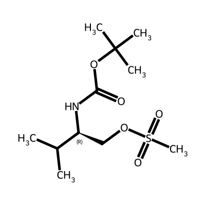 CC(C)[C@H](COS(C)(=O)=O)NC(=O)OC(C)(C)C